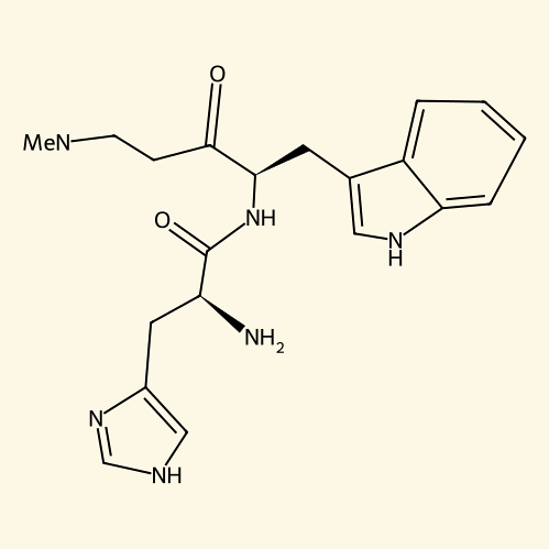 CNCCC(=O)[C@@H](Cc1c[nH]c2ccccc12)NC(=O)[C@@H](N)Cc1c[nH]cn1